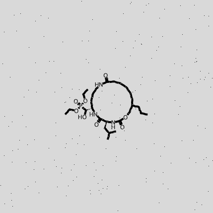 CCCC1CCCCCC(=O)NCCC[C@@H](C(O)P(=O)(OCC)OCC)NC(=O)[C@H](CC(C)C)NC(=O)OC1